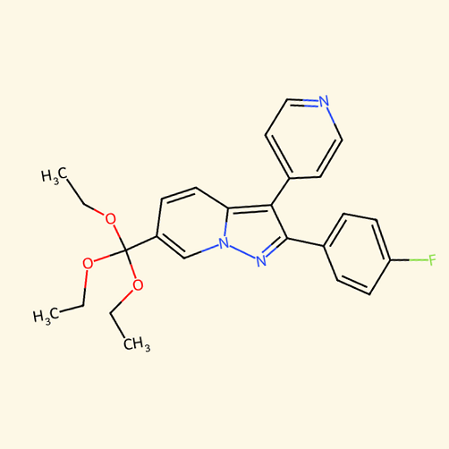 CCOC(OCC)(OCC)c1ccc2c(-c3ccncc3)c(-c3ccc(F)cc3)nn2c1